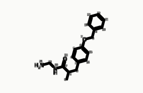 CC(Cc1ccc(OCc2ccccc2)cc1)C(=O)NCN